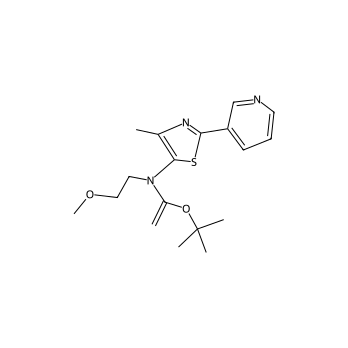 C=C(OC(C)(C)C)N(CCOC)c1sc(-c2cccnc2)nc1C